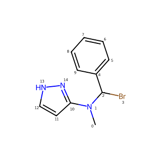 CN([C](Br)c1ccccc1)c1cc[nH]n1